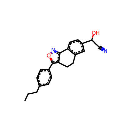 CCCc1ccc(-c2onc3c2CCc2cc(C(O)C#N)ccc2-3)cc1